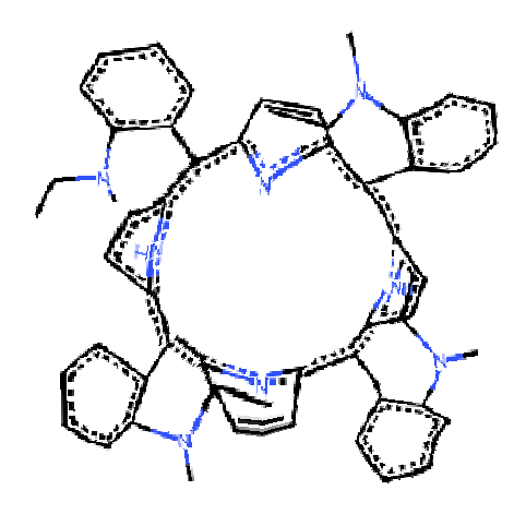 CCN(C)c1ccccc1-c1c2nc(c(-c3ccccc3N(C)CC)c3ccc([nH]3)c(-c3ccccc3N(C)CC)c3nc(c(-c4ccccc4N(C)CC)c4ccc1[nH]4)C=C3)C=C2